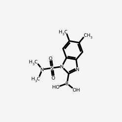 Cc1cc2nc(B(O)O)n(S(=O)(=O)N(C)C)c2cc1C